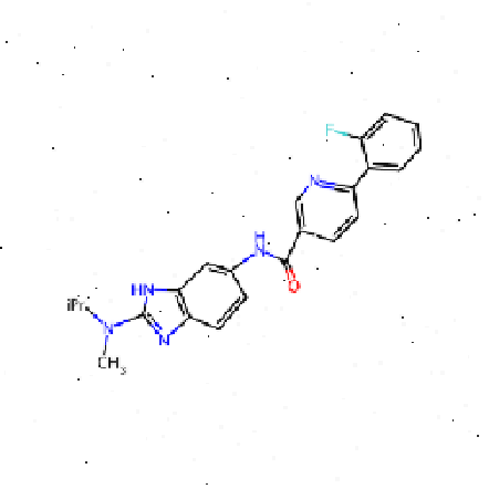 CC(C)N(C)c1nc2ccc(NC(=O)c3ccc(-c4ccccc4F)nc3)cc2[nH]1